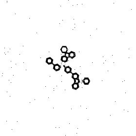 c1ccc(-c2cccc(N(c3ccc(-c4ccc5c(c4)c4ccccc4n5-c4ccccc4)cc3)c3ccc(C4(c5ccccc5)CCCCC4)cc3)c2)cc1